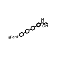 C=CC(O)Nc1ccc(C2CCC(C3CCC(C4CCC(CCCCC)CC4)CC3)CC2)cc1